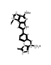 CNc1nc2[nH]c(-c3cccc(CN(C(=O)O)c4nnc(C)s4)c3)cc2c2c1ncn2C